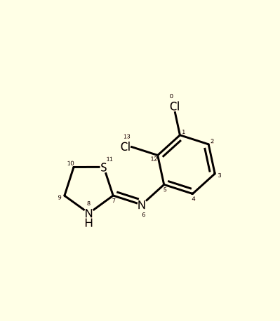 Clc1cccc(/N=C2/NCCS2)c1Cl